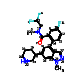 CC(C)N(CC(F)F)C(=O)c1cc(F)ccc1-c1cc(C2CCCNC2)cc2c1cnn2C